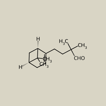 CC(C)(C=O)CCC1=CC[C@H]2C[C@@H]1C2(C)C